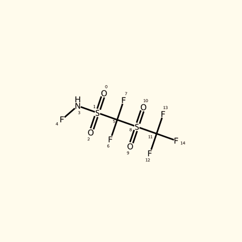 O=S(=O)(NF)C(F)(F)S(=O)(=O)C(F)(F)F